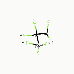 FC(F)C(F)(F)[Si](F)(F)F